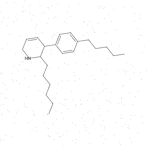 [CH2]CCCCCC1NCC=CC1c1ccc(CCCCC)cc1